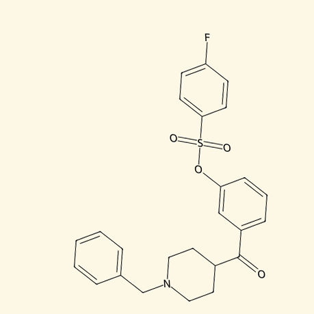 O=C(c1cccc(OS(=O)(=O)c2ccc(F)cc2)c1)C1CCN(Cc2ccccc2)CC1